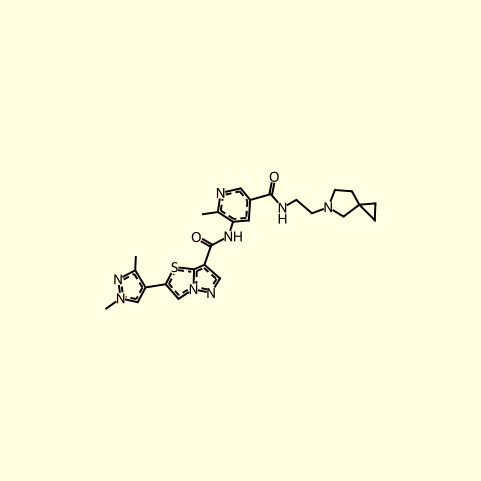 Cc1ncc(C(=O)NCCN2CCC3(CC3)C2)cc1NC(=O)c1cnn2cc(-c3cn(C)nc3C)sc12